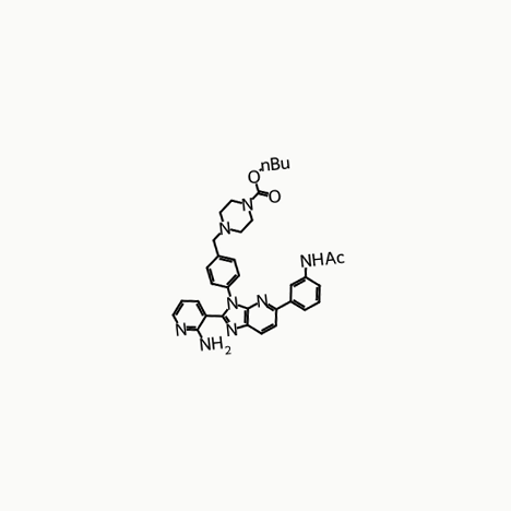 CCCCOC(=O)N1CCN(Cc2ccc(-n3c(-c4cccnc4N)nc4ccc(-c5cccc(NC(C)=O)c5)nc43)cc2)CC1